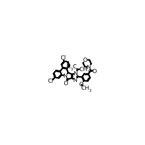 COc1ccc(C(=O)N2CCOCC2)cc1-c1nc2c(n1C(C)C)C1c3ccc(Cl)cc3-c3ccc(Cl)cc3N1C2=O